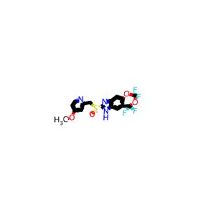 COc1ccnc(C[S+]([O-])c2nc3cc4c(cc3[nH]2)C(F)(F)OC(F)(F)O4)c1